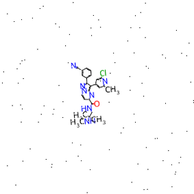 CNC(C)(C)CNC(=O)c1ccn2nc(-c3cccc(C#N)c3)c(-c3cc(C)nc(Cl)c3)c2n1